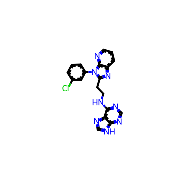 Clc1cccc(-n2c(CCNc3ncnc4[nH]cnc34)nc3cccnc32)c1